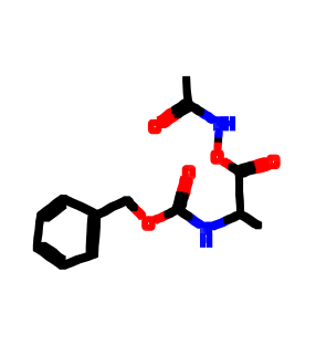 CC(=O)NOC(=O)C(C)NC(=O)OCc1ccccc1